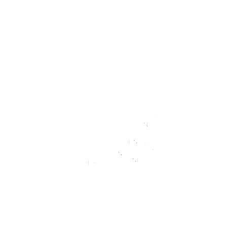 O=C(Nc1nc2c(C(=O)O)cccc2[nH]1)c1cccc(C#Cc2ccsc2)n1